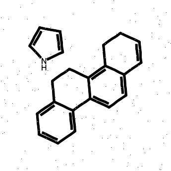 C1=Cc2ccc3c(c2CC1)CCc1ccccc1-3.c1cc[nH]c1